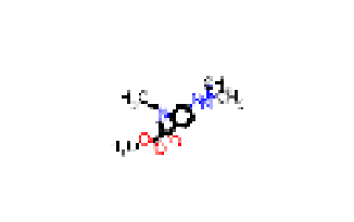 CCCn1cc(C(=O)OCC)c(=O)c2ccc(N=NN(C)C)cc21